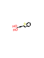 OC(O)C#Cc1cc2ccccc2s1